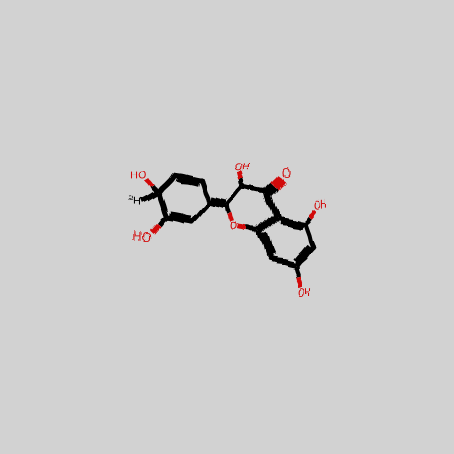 [2H]C1(O)C=CC(=C2Oc3cc(O)cc(O)c3C(=O)C2O)C=C1O